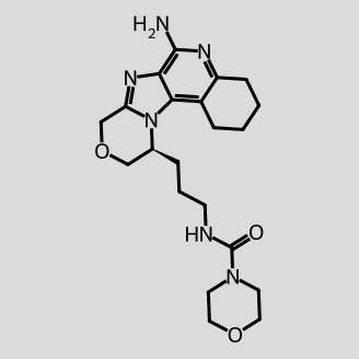 Nc1nc2c(c3c1nc1n3[C@@H](CCCNC(=O)N3CCOCC3)COC1)CCCC2